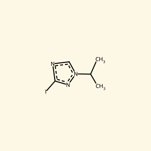 CC(C)n1cnc(I)n1